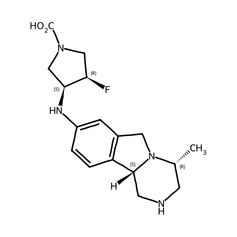 C[C@@H]1CNC[C@@H]2c3ccc(N[C@H]4CN(C(=O)O)C[C@H]4F)cc3CN12